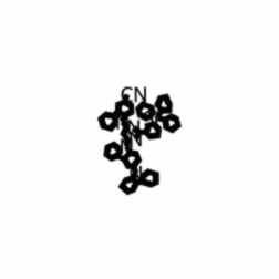 N#Cc1ccc2c(c1)c1ccccc1n2-c1cc(-n2c3ccccc3c3cc(-n4c5ccccc5c5ccccc54)ccc32)nc(-c2cccc([Si](c3ccccc3)(c3ccccc3)c3ccccc3)c2)n1